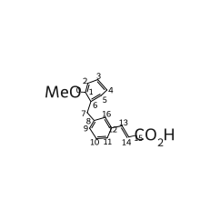 COc1ccccc1Cc1cccc(/C=C/C(=O)O)c1